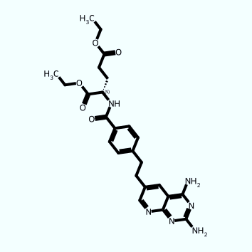 CCOC(=O)CC[C@H](NC(=O)c1ccc(CCc2cnc3nc(N)nc(N)c3c2)cc1)C(=O)OCC